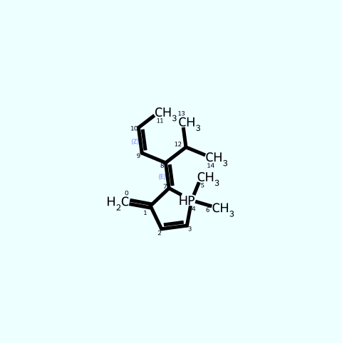 C=C1C=C[PH](C)(C)/C1=C(/C=C\C)C(C)C